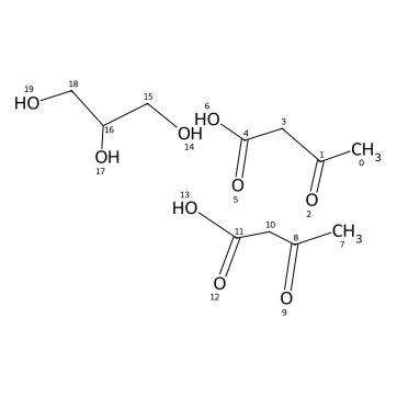 CC(=O)CC(=O)O.CC(=O)CC(=O)O.OCC(O)CO